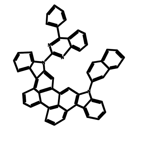 c1ccc(-c2nc(-n3c4ccccc4c4c5cccc6c7cccc8c7c(cc7c8c8ccccc8n7-c7ccc8ccccc8c7)c(cc43)c65)nc3ccccc23)cc1